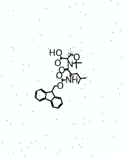 CC(C)C[C@@H](NC(=O)OCC1c2ccccc2-c2ccccc21)C(=O)N1C(C(=O)O)[C@H](C)OC1(C)C